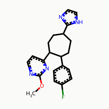 COc1nccc(C2CCC(c3ncc[nH]3)CCC2c2ccc(F)cc2)n1